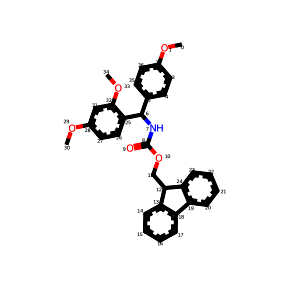 COc1ccc(C(NC(=O)OCC2c3ccccc3-c3ccccc32)c2ccc(OC)cc2OC)cc1